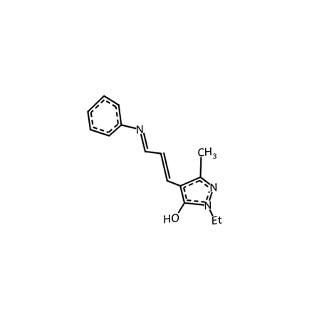 CCn1nc(C)c(/C=C/C=N/c2ccccc2)c1O